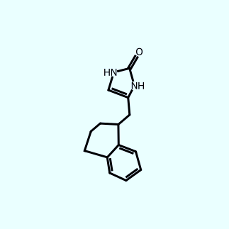 O=c1[nH]cc(CC2CCCc3ccccc32)[nH]1